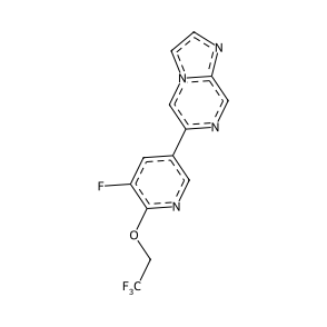 Fc1cc(-c2cn3ccnc3cn2)cnc1OCC(F)(F)F